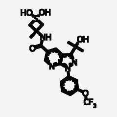 CC1(NC(=O)c2cnc3c(c2)c(C(C)(C)O)nn3-c2cccc(OC(F)(F)F)c2)CS(O)(O)C1